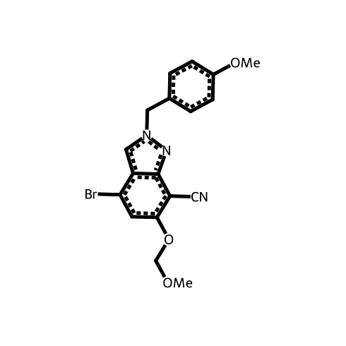 COCOc1cc(Br)c2cn(Cc3ccc(OC)cc3)nc2c1C#N